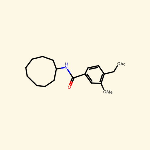 COc1cc(C(=O)NC2CCCCCCCC2)ccc1COC(C)=O